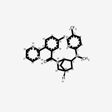 CN(c1ccc(C(F)(F)F)cn1)C1C[C@H]2CC1N(C(=O)c1cc(F)ccc1-c1ncccn1)C2